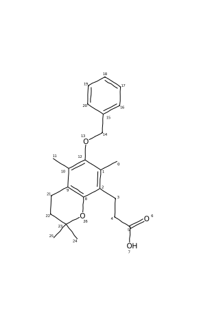 Cc1c(CCC(=O)O)c2c(c(C)c1OCc1ccccc1)CCC(C)(C)O2